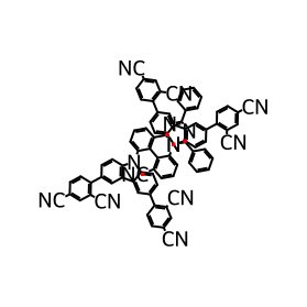 N#Cc1ccc(-c2ccc3c(c2)c2cc(-c4ccc(C#N)cc4C#N)ccc2n3-c2cccc(C#N)c2-c2c(-c3nc(-c4ccccc4)nc(-c4ccccc4)n3)cccc2-n2c3ccc(-c4ccc(C#N)cc4C#N)cc3c3cc(-c4ccc(C#N)cc4C#N)ccc32)c(C#N)c1